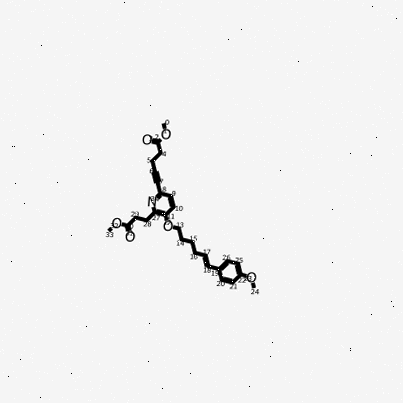 COC(=O)CCC#Cc1ccc(OCCCC/C=C/c2ccc(OC)cc2)c(CCC(=O)OC)n1